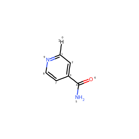 [1H]c1cc(C(N)=O)ccn1